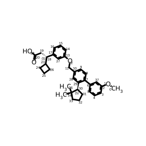 COc1cccc(-c2ccc(COc3cccc([C@@H](CC(=O)O)C4CCC4)c3)cc2[C@H]2CCCC2(C)C)c1